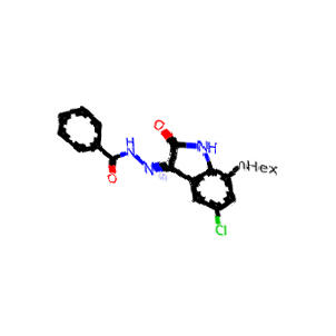 CCCCCCc1cc(Cl)cc2c1NC(=O)/C2=N\NC(=O)c1ccccc1